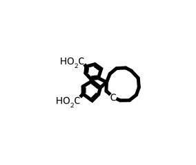 O=C(O)c1ccc(C2(c3ccc(C(=O)O)cc3)CCCCCCCCCCC2)cc1